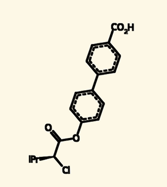 CC(C)[C@H](Cl)C(=O)Oc1ccc(-c2ccc(C(=O)O)cc2)cc1